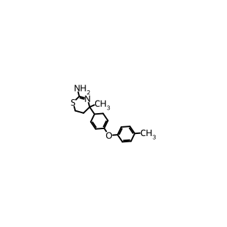 Cc1ccc(OC2=CCC(C3(C)CCSC(N)=N3)C=C2)cc1